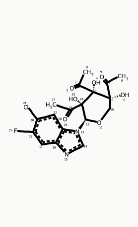 CC(=O)[C@@]1(O)[C@@](O)(C(C)=O)CO[C@@H](n2cnc3cc(F)c(Cl)cc32)[C@@]1(O)C(C)=O